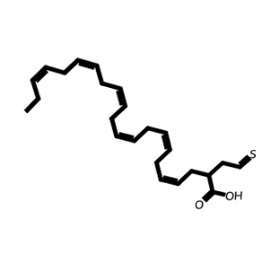 CC/C=C\C/C=C\C/C=C\C/C=C\C/C=C\C/C=C\CC(CC=S)C(=O)O